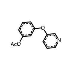 CC(=O)Oc1[c]ccc(Oc2cccnc2)c1